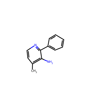 Cc1ccnc(-c2ccccc2)c1N